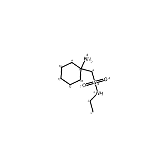 CCNS(=O)(=O)CC1(N)CCCCC1